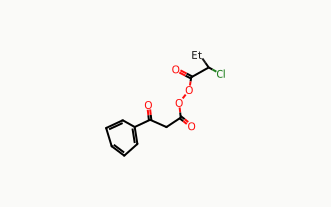 CCC(Cl)C(=O)OOC(=O)CC(=O)c1ccccc1